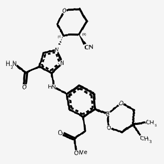 COC(=O)Cc1cc(Nc2nn([C@@H]3COCC[C@H]3C#N)cc2C(N)=O)ccc1B1OCC(C)(C)CO1